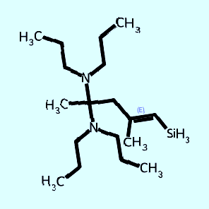 CCCN(CCC)C(C)(C/C(C)=C/[SiH3])N(CCC)CCC